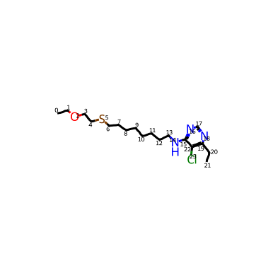 CCOCCSCCCCCCCCNc1ncnc(CC)c1Cl